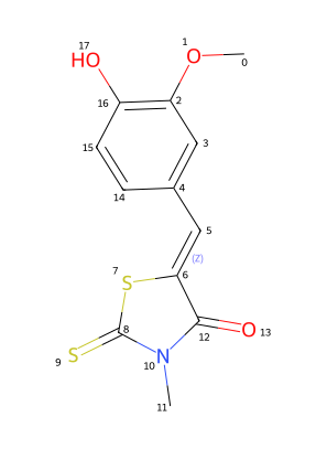 COc1cc(/C=C2\SC(=S)N(C)C2=O)ccc1O